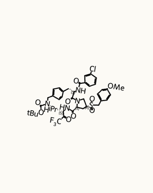 COc1ccc(CS(=O)(=O)[C@@H]2C[C@@H](C(=O)N[C@H](C(=O)C(F)(F)F)C(C)C)N(C(=O)[C@H](Cc3ccc(CNC(=O)OC(C)(C)C)cc3)NC(=O)c3cccc(Cl)c3)C2)cc1